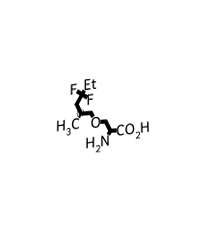 CCC(F)(F)C[C@H](C)COCC(N)C(=O)O